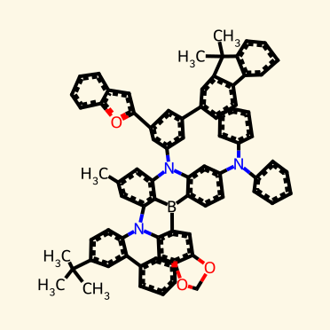 Cc1cc2c3c(c1)N(c1ccc(C(C)(C)C)cc1-c1ccccc1)c1cc4c(cc1B3c1ccc(N(c3ccccc3)c3ccccc3)cc1N2c1cc(-c2ccc3c(c2)C(C)(C)c2ccccc2-3)cc(-c2cc3ccccc3o2)c1)OCO4